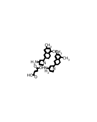 Cc1cc(C)c2c(c1)C=C(c1cc(N)ccn1)CC2.Cc1cc(C)c2c(c1)C=C(c1cc(N)ccn1)CC2.O=C(O)/C=C/C(=O)O